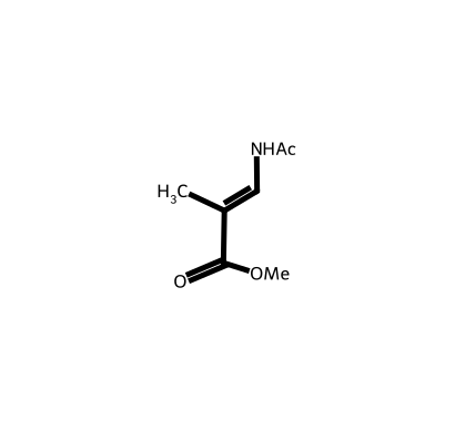 COC(=O)C(C)=CNC(C)=O